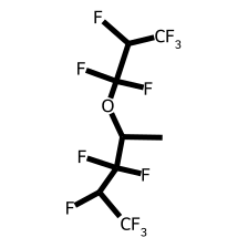 CC(OC(F)(F)C(F)C(F)(F)F)C(F)(F)C(F)C(F)(F)F